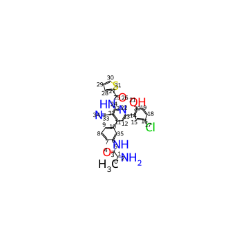 CC(N)C(=O)Nc1cccc(-c2cc(-c3cc(Cl)ccc3O)nc(NC(=O)c3cccs3)c2C#N)c1